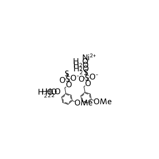 COc1cccc(COS(=O)([O-])=S)c1.COc1cccc(COS(=O)([O-])=S)c1.O.O.O.O.O.O.[Ni+2]